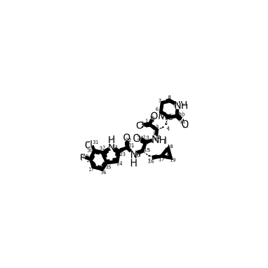 COC(=O)[C@H](C[C@@H]1CCCNC1=O)NC(=O)[C@H](CC1CC1)NC(=O)c1cc2ccc(F)c(Cl)c2[nH]1